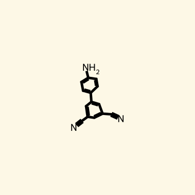 N#Cc1cc(C#N)cc(-c2ccc(N)cc2)c1